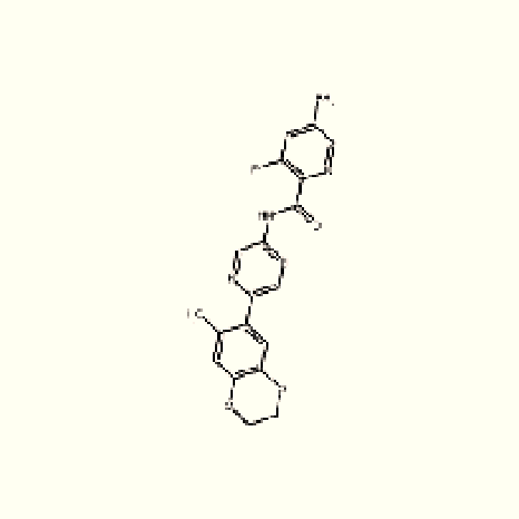 Bc1cnc(C(=O)Nc2cnc(-c3cc4c(cc3C)OCCO4)cn2)c(F)c1